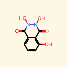 O=c1c2cccc(O)c2c(=O)n(O)n1O